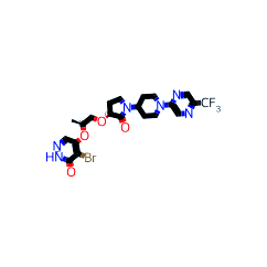 C[C@@H](CO[C@H]1CCN(C2CCN(c3cnc(C(F)(F)F)cn3)CC2)C1=O)Oc1cn[nH]c(=O)c1Br